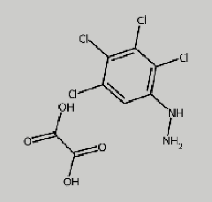 NNc1cc(Cl)c(Cl)c(Cl)c1Cl.O=C(O)C(=O)O